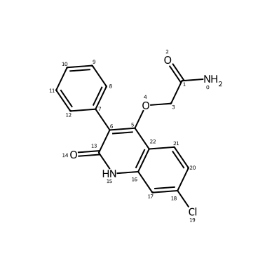 NC(=O)COc1c(-c2ccccc2)c(=O)[nH]c2cc(Cl)ccc12